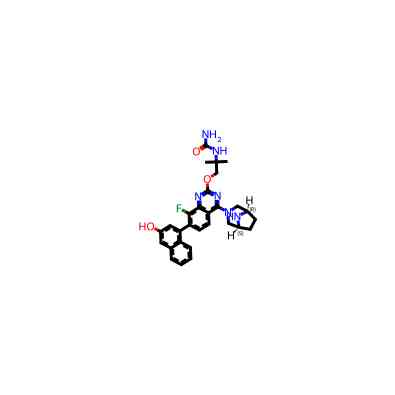 CC(C)(COc1nc(N2C[C@H]3CC[C@@H](C2)N3)c2ccc(-c3cc(O)cc4ccccc34)c(F)c2n1)NC(N)=O